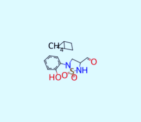 C.C1CC2CC12.O=CC1CN(c2ccccc2O)S(=O)(=O)N1